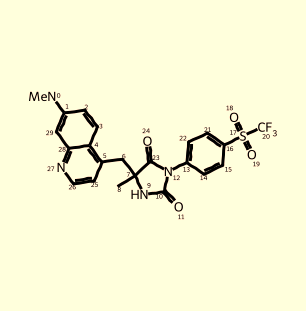 CNc1ccc2c(CC3(C)NC(=O)N(c4ccc(S(=O)(=O)C(F)(F)F)cc4)C3=O)ccnc2c1